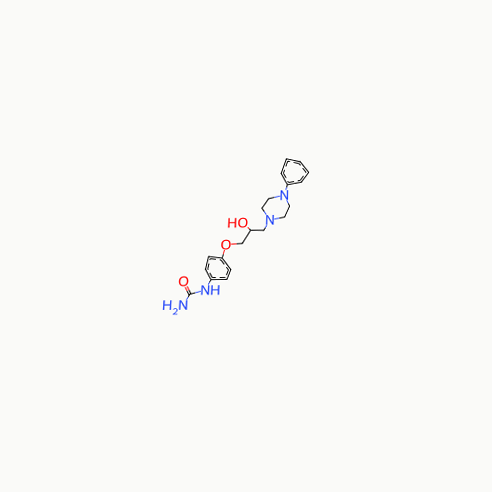 NC(=O)Nc1ccc(OCC(O)CN2CCN(c3ccccc3)CC2)cc1